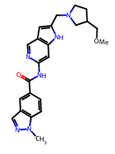 COCC1CCN(Cc2cc3cnc(NC(=O)c4ccc5c(cnn5C)c4)cc3[nH]2)C1